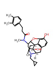 Cc1ccc(CCC(=O)N(C)C2CC(C)[C@@]3(O)[C@H]4Cc5ccc(O)c6c5[C@@]3(CCN4CC3CC3)C2O6)cc1C